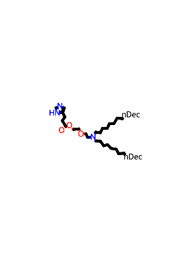 CCCCCCCCCCCCCCCCCCN(CCCCCCCCCCCCCCCCCC)CCOCCOC(=O)CCc1cnc[nH]1